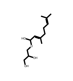 CC(C)=CCCC(C)=CC(O)OCC(O)CO